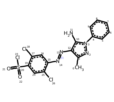 Cc1nn(-c2ccccc2)c(N)c1/N=N/c1cc(Cl)c(S(=O)(=O)Cl)cc1Cl